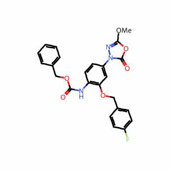 COc1nn(-c2ccc(NC(=O)OCc3ccccc3)c(OCc3ccc(F)cc3)c2)c(=O)o1